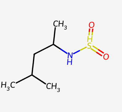 CC(C)CC(C)N[SH](=O)=O